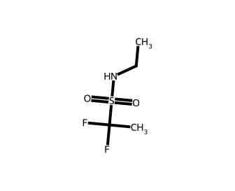 CCNS(=O)(=O)C(C)(F)F